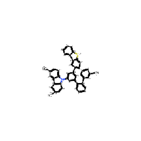 N#Cc1cccc(-c2ccccc2-c2cc(-c3ccc4sc5ccccc5c4c3)cc(-n3c4ccc(C#N)cc4c4cc(C#N)ccc43)c2)c1